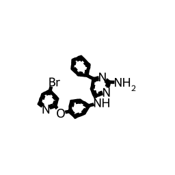 Nc1nc(Nc2ccc(Oc3cc(Br)ccn3)cc2)cc(-c2ccccc2)n1